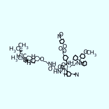 COc1ccc(C(NCCCC[C@H](NC(=O)[C@H](Cc2ccc(C#N)cc2)NC(=O)CCC(=O)NCCCO[C@H]2CC[C@@]3(C)C(=CC[C@H]4[C@@H]5CC[C@H]([C@H](C)CCCC(C)C)[C@@]5(C)CC[C@@H]43)C2)C(=O)Nc2ccc(COC(=O)Oc3ccc(N=O)cc3)cc2)(c2ccccc2)c2ccccc2)cc1